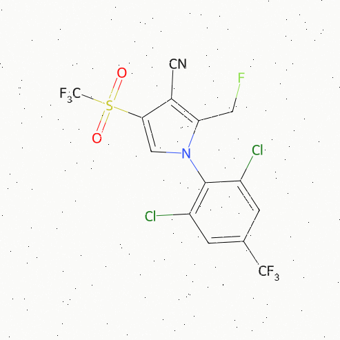 N#Cc1c(S(=O)(=O)C(F)(F)F)cn(-c2c(Cl)cc(C(F)(F)F)cc2Cl)c1CF